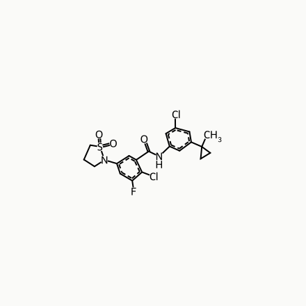 CC1(c2cc(Cl)cc(NC(=O)c3cc(N4CCCS4(=O)=O)cc(F)c3Cl)c2)CC1